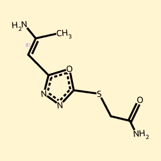 C/C(N)=C\c1nnc(SCC(N)=O)o1